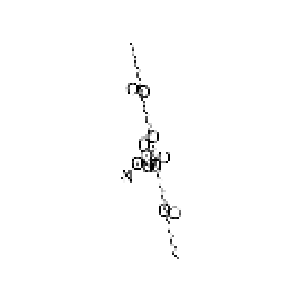 CCCCCCCCC(=O)OCCCCCCCOC(=O)C[C@H](OC(=O)OCCN(C)C)C(=O)OCCCCCCCOC(=O)CCCCCCCC